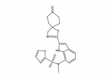 CN(c1cccc2cc(C3=NCC4(CCC(=O)CC4)S3)[nH]c12)S(=O)(=O)c1cccs1